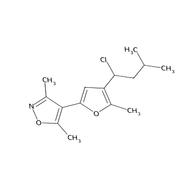 Cc1noc(C)c1-c1cc(C(Cl)CC(C)C)c(C)o1